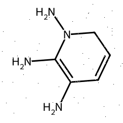 NC1=C(N)N(N)CC=C1